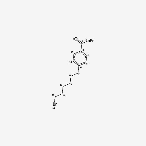 CCCC(=O)c1ccc(CCCCCCBr)cc1